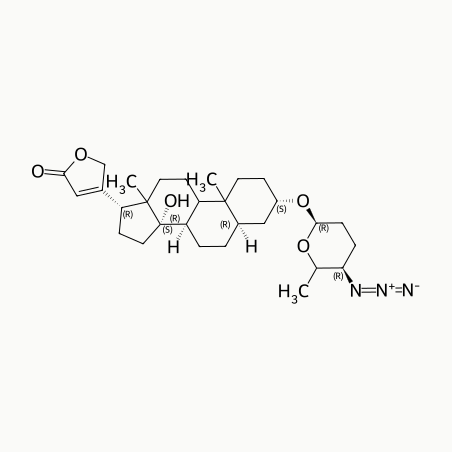 CC1O[C@@H](O[C@H]2CCC3(C)C4CCC5(C)[C@@H](C6=CC(=O)OC6)CC[C@]5(O)[C@@H]4CC[C@@H]3C2)CC[C@H]1N=[N+]=[N-]